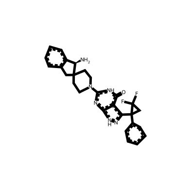 N[C@@H]1c2ccccc2CC12CCN(c1nc3[nH]nc(C4(c5ccccc5)CC4(F)F)c3c(=O)[nH]1)CC2